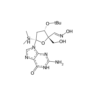 C[SiH](C)[C@]1(n2cnc3c(=O)[nH]c(N)nc32)C[C@H](OC(C)(C)C)[C@@](C=NO)(CO)O1